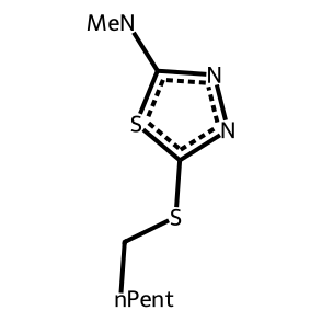 CCCCCCSc1nnc(NC)s1